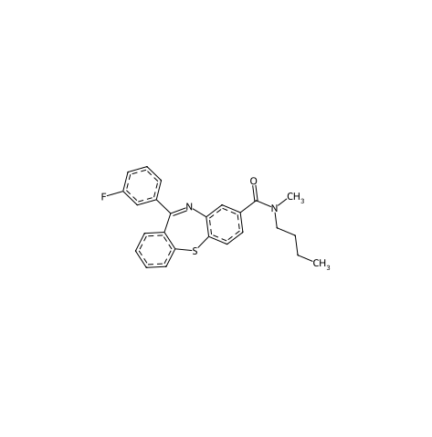 CCCCN(C)C(=O)c1ccc2c(c1)N=C(c1cccc(F)c1)c1ccccc1S2